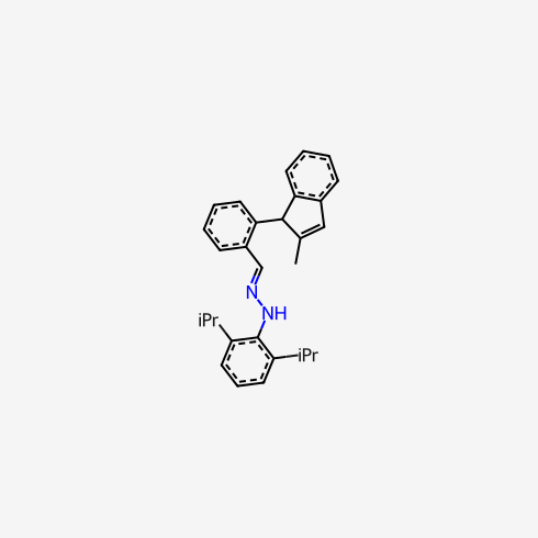 CC1=Cc2ccccc2C1c1ccccc1C=NNc1c(C(C)C)cccc1C(C)C